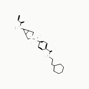 C=CC(=O)NC1C2CN(S(=O)(=O)c3ccc(C(=O)NCCC4CCCCC4)cc3)CC21